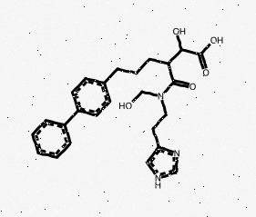 O=C(O)C(O)C(CCCc1ccc(-c2ccccc2)cc1)C(=O)N(CO)CCc1c[nH]cn1